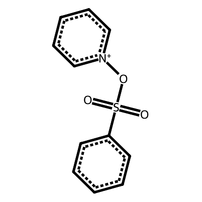 O=S(=O)(O[n+]1ccccc1)c1ccccc1